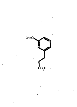 COc1cccc(CCC(=O)O)n1